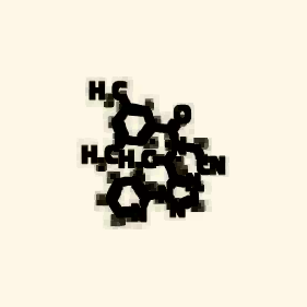 Cc1cc(C)cc(C(=O)N(CC#N)C(C)c2ncnn2-c2ccccn2)c1